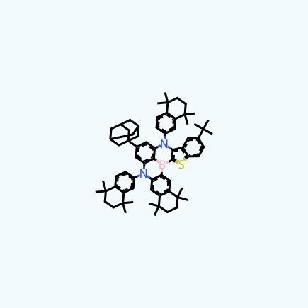 CC(C)(C)c1ccc2sc3c(c2c1)N(c1ccc2c(c1)C(C)(C)CCC2(C)C)c1cc(C24CC5CC(CC(C5)C2)C4)cc2c1B3c1cc3c(cc1N2c1ccc2c(c1)C(C)(C)CCC2(C)C)C(C)(C)CCC3(C)C